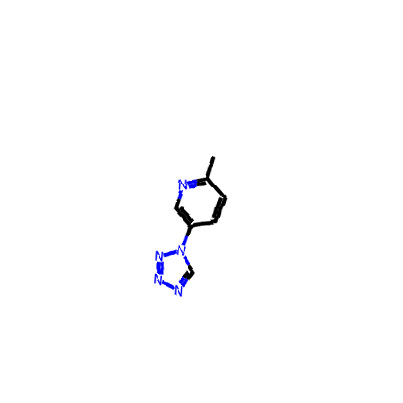 Cc1ccc(-n2cnnn2)cn1